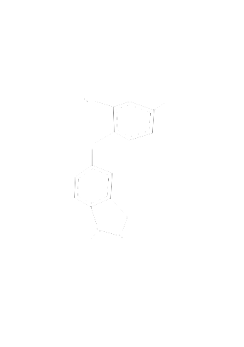 CN1NCc2cc(Sc3ccc(F)cc3C#N)ccc21